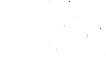 CC(C)COC(=O)N1CCC(C=O)C1